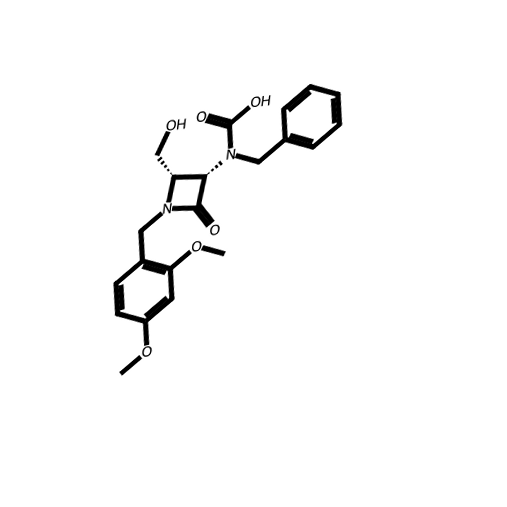 COc1ccc(CN2C(=O)[C@@H](N(Cc3ccccc3)C(=O)O)[C@H]2CO)c(OC)c1